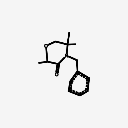 CC1OCC(C)(C)N(Cc2ccccc2)C1=O